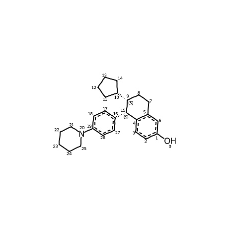 Oc1ccc2c(c1)CC[C@@H](C1CCCC1)[C@H]2c1ccc(N2CCCCC2)cc1